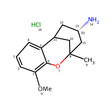 COc1cccc2c1OC1(C)CC2C[C@H](N)C1.Cl